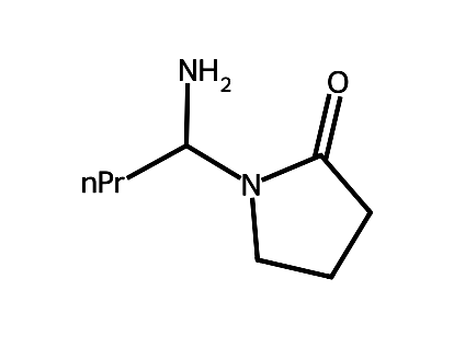 CCCC(N)N1CCCC1=O